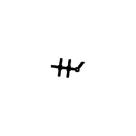 [CH2]O[Si](C)(C)[Si](C)(C)C